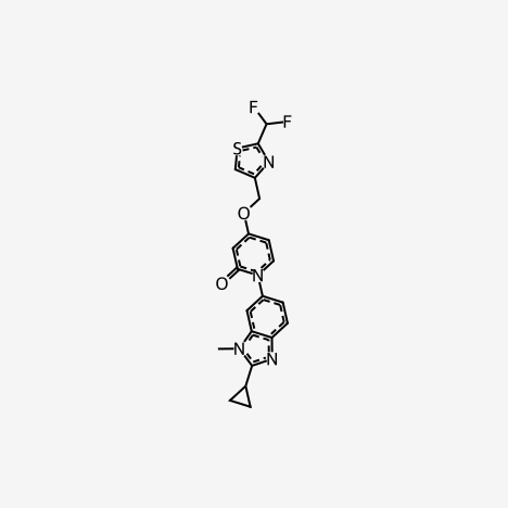 Cn1c(C2CC2)nc2ccc(-n3ccc(OCc4csc(C(F)F)n4)cc3=O)cc21